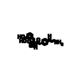 NCCN[C@H]1CC[C@H](CC(=O)N[C@H]2Cc3cccc(C(O)O)c3OB2O)CC1